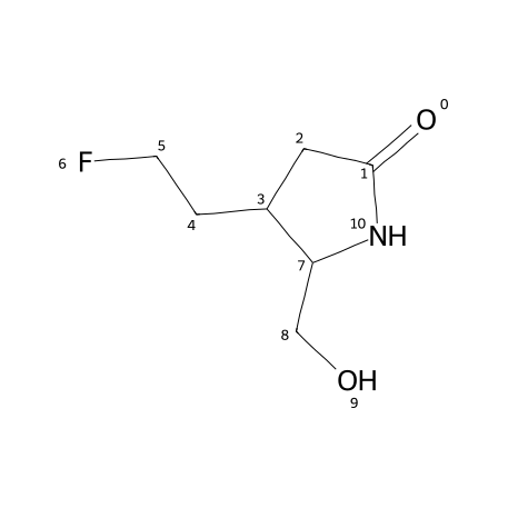 O=C1CC(CCF)C(CO)N1